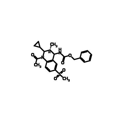 CC(=O)N1c2ccc(S(C)(=O)=O)cc2C(NC(=O)OCc2ccccc2)[C@@H](C)C1C1CC1